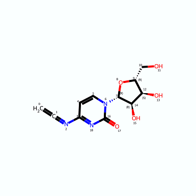 C=C=Nc1ccn([C@@H]2O[C@H](CO)[C@@H](O)[C@H]2O)c(=O)n1